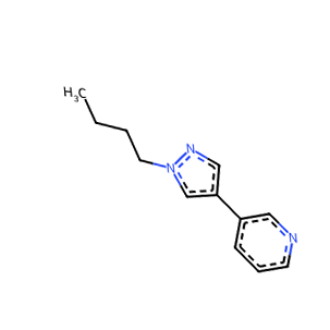 CCCCn1cc(-c2cccnc2)cn1